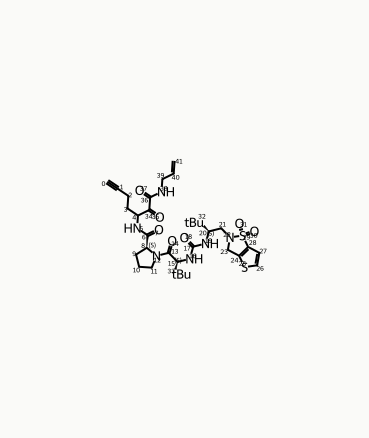 C#CCCC(NC(=O)[C@@H]1CCCN1C(=O)[C@@H](NC(=O)N[C@H](CN1Cc2sccc2S1(=O)=O)C(C)(C)C)C(C)(C)C)C(=O)C(=O)NCC=C